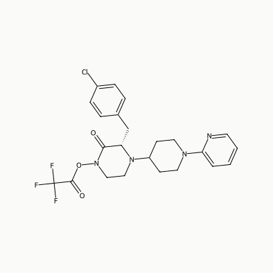 O=C1[C@H](Cc2ccc(Cl)cc2)N(C2CCN(c3ccccn3)CC2)CCN1OC(=O)C(F)(F)F